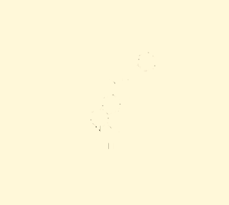 CC(C)n1ccc2cc(C(=O)OCc3ccccc3)c(F)cc2c1=O